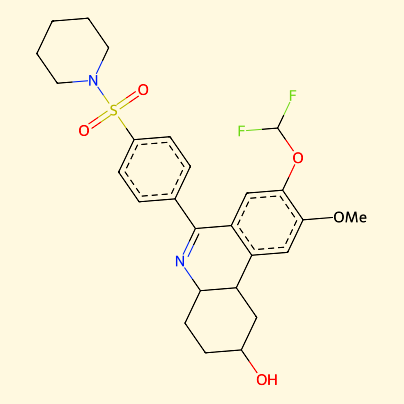 COc1cc2c(cc1OC(F)F)C(c1ccc(S(=O)(=O)N3CCCCC3)cc1)=NC1CCC(O)CC21